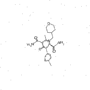 Cc1ccc(-c2c(C(N)=O)n(CC3CCOCC3)c(C)c(C(N)=O)c2=O)cc1